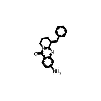 Nc1ccc2c(=O)n3c(nc2c1)C(=Cc1ccccc1)CCC3